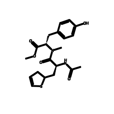 COC(=O)[C@H](Cc1ccc(O)cc1)N(C)C(=O)[C@H](CC1CC=CS1)NC(C)=O